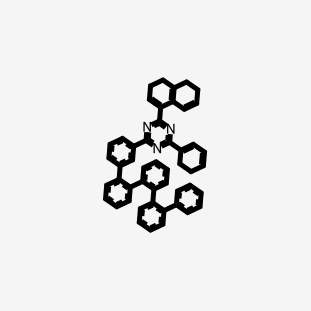 C1=CCCC(c2nc(C3=CCCC4=C3C=CCC4)nc(-c3cccc(-c4ccccc4-c4ccccc4-c4ccccc4-c4ccccc4)c3)n2)=C1